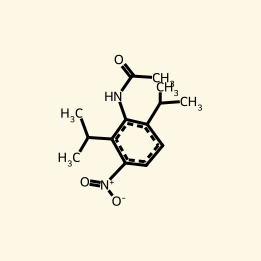 CC(=O)Nc1c(C(C)C)ccc([N+](=O)[O-])c1C(C)C